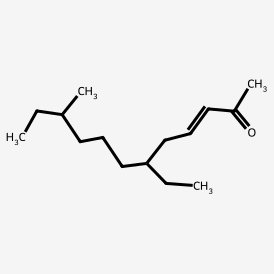 CCC(C)CCCC(CC)CC=CC(C)=O